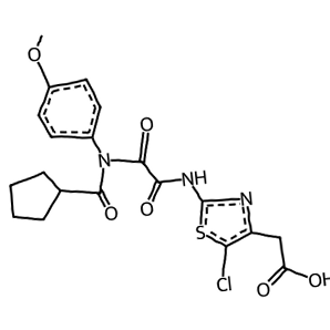 COc1ccc(N(C(=O)C(=O)Nc2nc(CC(=O)O)c(Cl)s2)C(=O)C2CCCC2)cc1